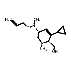 C=CCON(C)[C@@H]1C=C(C2CC2)[C@@H](CO)N(C)C1